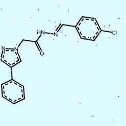 O=C(Cn1cc(-c2ccccc2)nn1)N/N=C/c1ccc(Cl)cc1